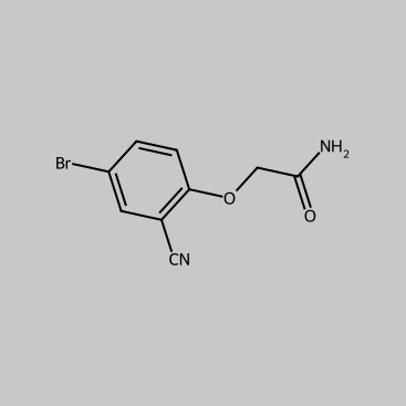 N#Cc1cc(Br)ccc1OCC(N)=O